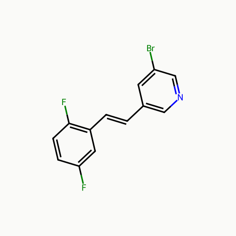 Fc1ccc(F)c(/C=C/c2cncc(Br)c2)c1